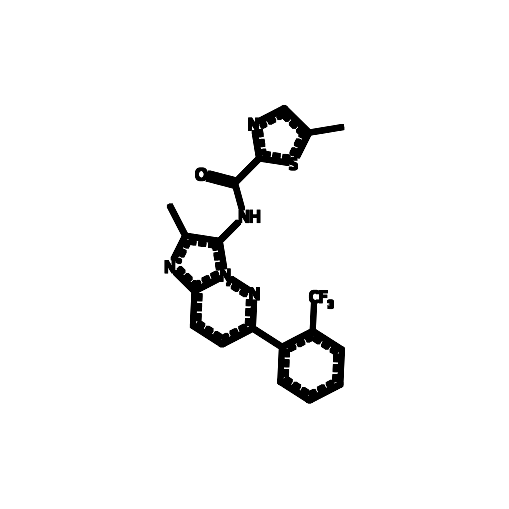 Cc1cnc(C(=O)Nc2c(C)nc3ccc(-c4ccccc4C(F)(F)F)nn23)s1